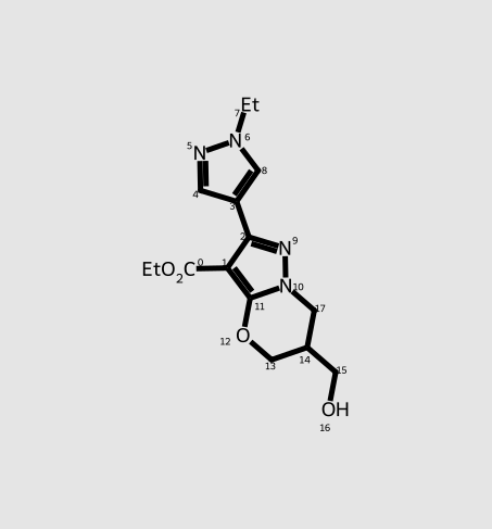 CCOC(=O)c1c(-c2cnn(CC)c2)nn2c1OCC(CO)C2